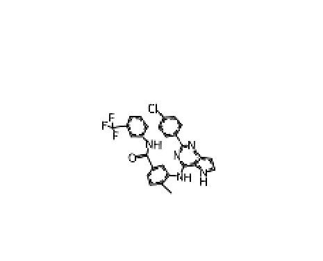 Cc1ccc(C(=O)Nc2cccc(C(F)(F)F)c2)cc1Nc1nc(-c2ccc(Cl)cc2)nc2cc[nH]c12